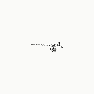 CCCCCCCCCCCCCCCCCCOC[C@H](COP(=O)(O)O)OCc1cncc(C#N)c1